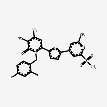 CS(=O)(=O)c1cc(-c2ccc(-c3cc(C(F)(F)F)c(C#N)c(=O)n3Cc3ccc(F)cc3F)s2)cc(C(F)(F)F)n1